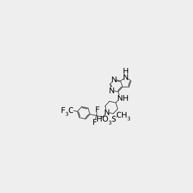 CS(=O)(=O)O.FC(F)(F)c1ccc(C(F)(F)CN2CCC(Nc3ncnc4[nH]ccc34)CC2)cc1